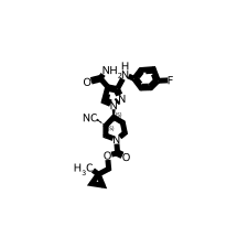 CC1(COC(=O)N2CC[C@H](n3cc(C(N)=O)c(Nc4ccc(F)cc4)n3)[C@@H](C#N)C2)CC1